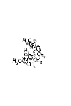 Cc1cc(C)n(-c2cc(C)c(SCc3c(C)cccc3-n3nnn(C)c3=O)cc2C)n1